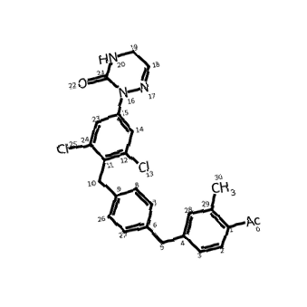 CC(=O)c1ccc(Cc2ccc(Cc3c(Cl)cc(N4N=CCNC4=O)cc3Cl)cc2)cc1C